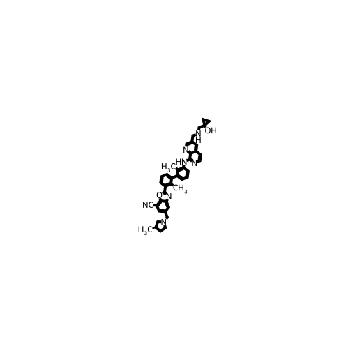 Cc1c(Nc2nccc3cc(CNCC4(O)CC4)cnc23)cccc1-c1cccc(-c2nc3cc(CN4CC[C@@H](C)C4)cc(C#N)c3o2)c1C